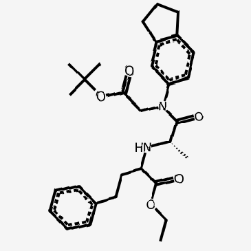 CCOC(=O)C(CCc1ccccc1)N[C@@H](C)C(=O)N(CC(=O)OC(C)(C)C)c1ccc2c(c1)CCC2